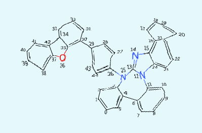 c1ccc2c(c1)-c1ccccc1-n1c(nc3c4ccccc4ccc31)N2c1ccc(-c2cccc3c2oc2ccccc23)cc1